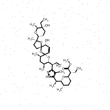 CC[C@@H](C(=O)OC)[C@H]1CC[C@H](C)[C@H]([C@@H](C)c2[nH]nc([C@H](CC)[C@H]3O[C@]4(C=C[C@@H](O)[C@]5(CC[C@@](C)([C@H]6CC[C@](O)(CC)[C@H](C)O6)O5)O4)[C@H](C)C[C@@H]3C)c2C)O1